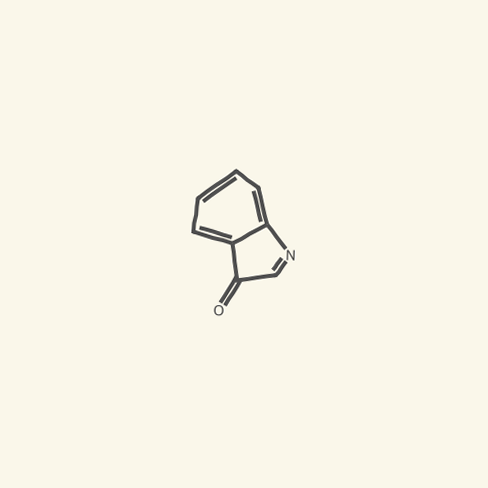 O=C1C=Nc2ccccc21